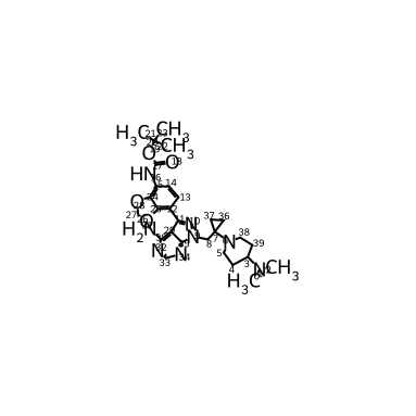 CN(C)C1CCN(C2(Cn3nc(-c4ccc(NC(=O)OC(C)(C)C)c5c4OCO5)c4c(N)ncnc43)CC2)CC1